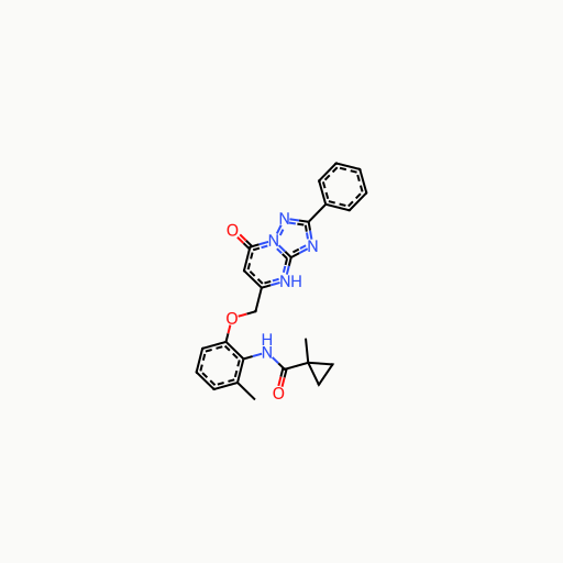 Cc1cccc(OCc2cc(=O)n3nc(-c4ccccc4)nc3[nH]2)c1NC(=O)C1(C)CC1